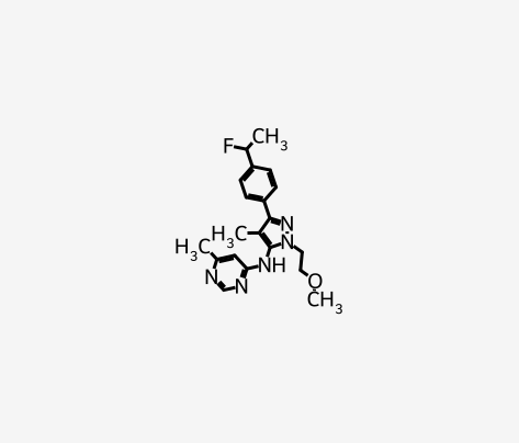 COCCn1nc(-c2ccc(C(C)F)cc2)c(C)c1Nc1cc(C)ncn1